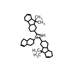 CC1(C)C2C=CCCC2C2CCC(C3NC(C4CCC5C6CCC=CC6C(C)(C)C5C4)N3C3CCC4C=CCCC4C3)CC21